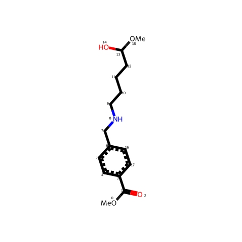 COC(=O)c1ccc(CNCCCCC(O)OC)cc1